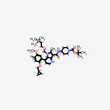 COc1cc(-c2ccnc3c(C(=O)NC4CCN(C(=O)OC(C)(C)C)CC4)c(C)n(COCC[Si](C)(C)C)c23)c(OCC2CC2)cc1F